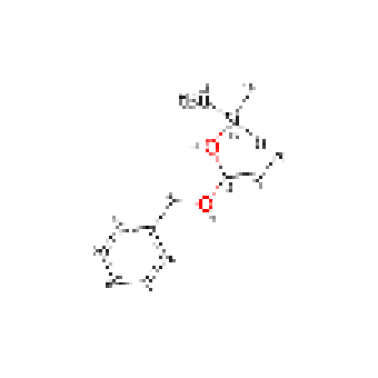 CC=C(OCc1ccccc1)O[Si](C)(C)C(C)(C)C